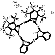 O=S(=O)([O-])c1c2c(c(S(=O)(=O)[O-])c(S(=O)(=O)[O-])c1S(=O)(=O)[O-])-c1nc-2nc2[nH]c(nc3nc(nc4[nH]c(n1)c1c(S(=O)(=O)[O-])c(S(=O)(=O)[O-])c(S(=O)(=O)[O-])c(S(=O)(=O)[O-])c41)-c1ccccc1-3)c1ccccc21.[Zn+2].[Zn+2].[Zn+2].[Zn+2]